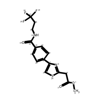 COC(=O)Cc1nc(-c2ccc(C(=O)NCCC(F)(F)F)cc2)cs1